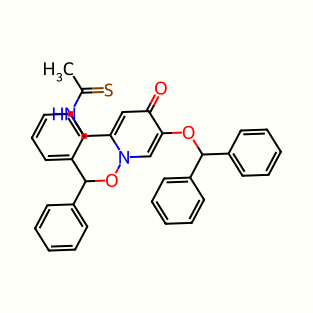 CC(=S)NCc1cc(=O)c(OC(c2ccccc2)c2ccccc2)cn1OC(c1ccccc1)c1ccccc1